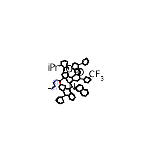 C=C(/C=C\C=C/C)c1cc2c(oc3cccc(C(C)C)c32)c2c1cc(N(c1ccc3ccccc3c1)c1c3ccccc3c(-c3ccccc3)c3ccccc13)c1cc(-c3cccc(C(F)(F)F)c3)c3oc4c(-c5ccccc5)cccc4c3c12